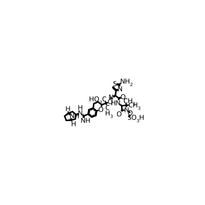 CC(ON=C(C(=O)NC1C(=O)N(OS(=O)(=O)O)C1(C)C)c1csc(N)n1)(C(=O)O)C1CCc2cc(C(=N)NC3C[C@H]4CC[C@@H](C3)N4)ccc2O1